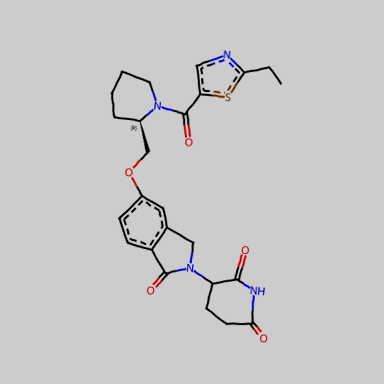 CCc1ncc(C(=O)N2CCCC[C@@H]2COc2ccc3c(c2)CN(C2CCC(=O)NC2=O)C3=O)s1